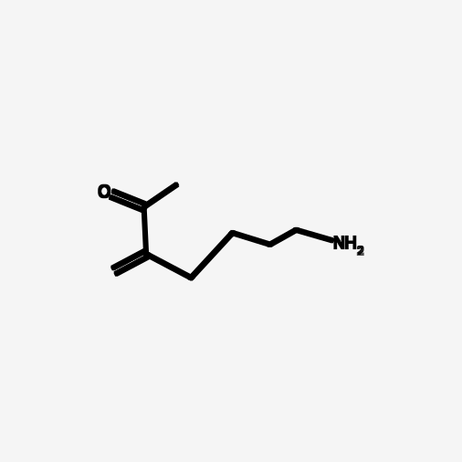 C=C(CCCCN)C(C)=O